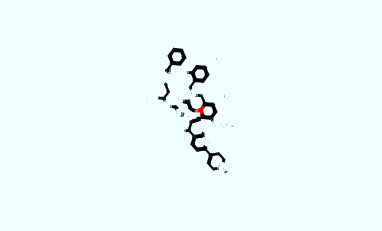 CCCC(CCOCc1ccccc1)Oc1nc(N(Cc2ccc(OC)cc2OC)Cc2ccc(OC)cc2OC)c2ncc(C(O)c3ccc(C4=CCN(C(=O)O)CC4)nc3F)n2n1